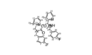 CCOC(=O)C(=O)N(Cc1ccc(F)cc1)Cc1ncccc1C.Cc1cccnc1CNCc1ccc(F)cc1